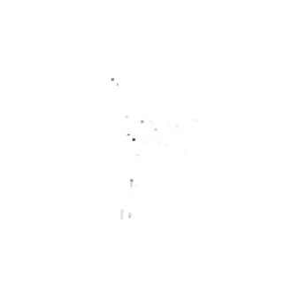 CN1CCC[C@H]1COc1nc(N2CCN(C(=O)OC(C)(C)C)C(CC#N)C2)c2cc(Cl)c(Br)cc2n1